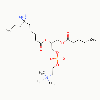 CCCCCCCCCCCCCC(=O)OCC(COP(=O)([O-])OCC[N+](C)(C)C)OC(=O)CCCCC1(CCCCCCCCCCCC)N=N1